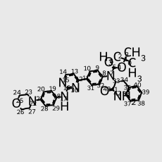 CC(C)(C)OC(=O)N(c1ccc(-c2ccnc(Nc3ccc(N4CCOCC4)cc3)n2)cc1)[C@@H](Cc1ccccc1)C(N)=O